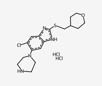 Cl.Cl.Clc1cc2nc(SCC3CCOCC3)[nH]c2cc1N1CCNCC1